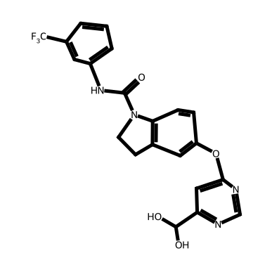 O=C(Nc1cccc(C(F)(F)F)c1)N1CCc2cc(Oc3cc(C(O)O)ncn3)ccc21